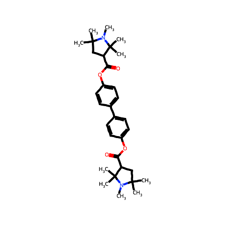 CN1C(C)(C)CC(C(=O)Oc2ccc(-c3ccc(OC(=O)C4CC(C)(C)N(C)C4(C)C)cc3)cc2)C1(C)C